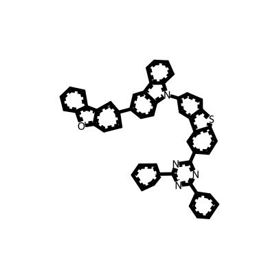 c1ccc(-c2nc(-c3ccccc3)nc(-c3ccc4sc5ccc(-n6c7ccccc7c7cc(-c8ccc9oc%10ccccc%10c9c8)ccc76)cc5c4c3)n2)cc1